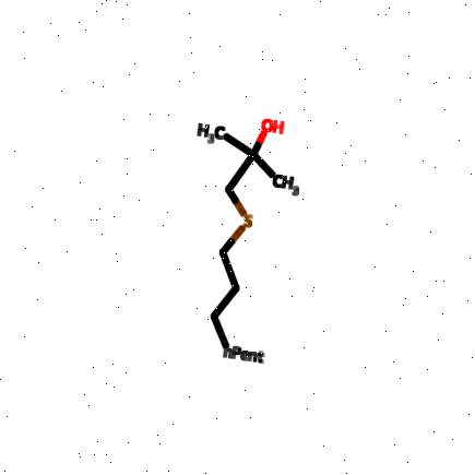 CCCCCCCCSCC(C)(C)O